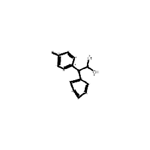 CCC(O)C(c1ccccc1)c1ccc(C)cc1